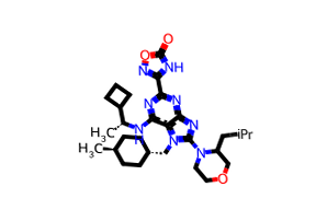 CC(C)CC1COCCN1c1nc2nc(-c3noc(=O)[nH]3)nc(N[C@H](C)C3CCC3)c2n1C[C@H]1CC[C@H](C)CC1